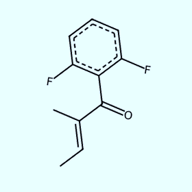 C/C=C(\C)C(=O)c1c(F)cccc1F